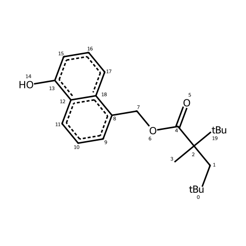 CC(C)(C)CC(C)(C(=O)OCc1cccc2c(O)cccc12)C(C)(C)C